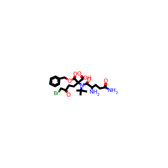 CC(C)(C)N(C(=O)C(N)CCC(N)=O)C(CCC(=O)CBr)(C(=O)O)C(=O)OCc1ccccc1